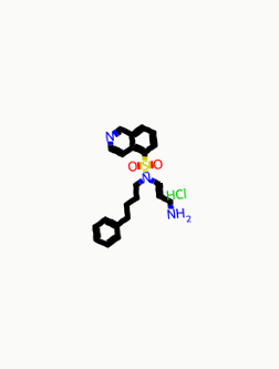 Cl.NCC=CN(CCCCc1ccccc1)S(=O)(=O)c1cccc2cnccc12